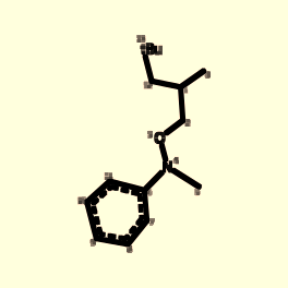 CC(CON(C)c1ccccc1)CC(C)(C)C